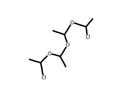 CC(Cl)OC(C)OC(C)OC(C)Cl